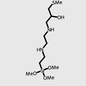 CO[Si](CCNCCNCC(O)CSC)(OC)OC